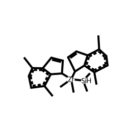 Cc1ccc(C)c2c1C=C[CH]2[Zr]([CH3])([CH3])([CH]1C=Cc2c(C)ccc(C)c21)[SiH](C)C